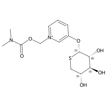 CN(C)C(=O)OC[n+]1cccc(O[C@H]2SC[C@@H](O)[C@H](O)[C@H]2O)c1